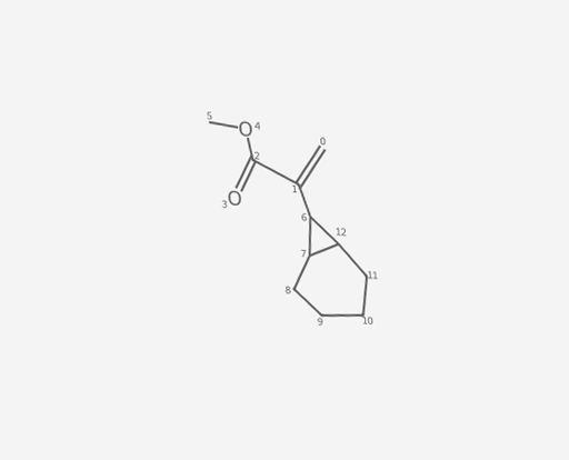 C=C(C(=O)OC)C1C2CCCCC21